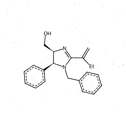 C=C(CC)C1=N[C@H](CO)[C@H](c2ccccc2)N1Cc1ccccc1